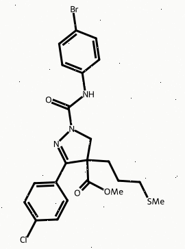 COC(=O)C1(CCCSC)CN(C(=O)Nc2ccc(Br)cc2)N=C1c1ccc(Cl)cc1